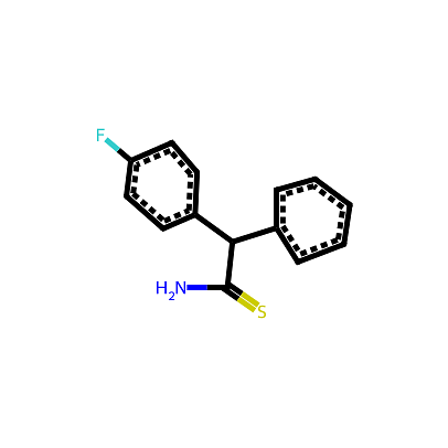 NC(=S)C(c1ccccc1)c1ccc(F)cc1